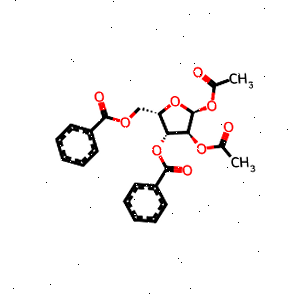 CC(=O)O[C@@H]1O[C@@H](COC(=O)c2ccccc2)[C@@H](OC(=O)c2ccccc2)[C@@H]1OC(C)=O